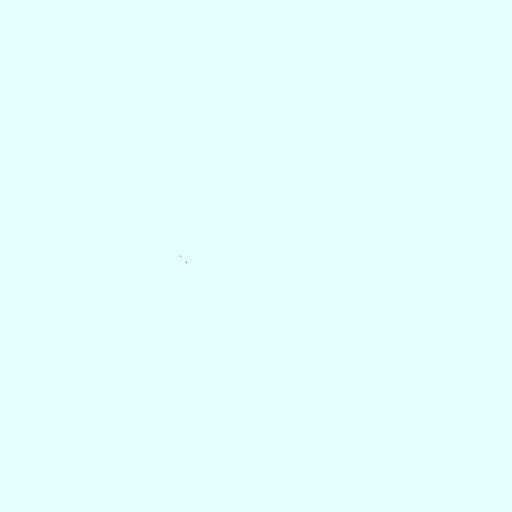 Cc1ccc(S(=O)(=O)Cc2nccs2)cc1